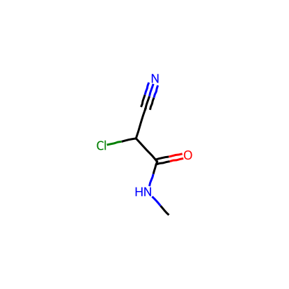 CNC(=O)C(Cl)C#N